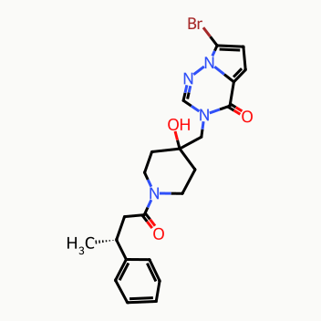 C[C@H](CC(=O)N1CCC(O)(Cn2cnn3c(Br)ccc3c2=O)CC1)c1ccccc1